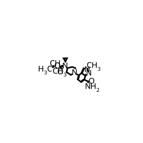 Cn1cc2c(N3CCC(N(C(=O)OC(C)(C)C)C4CC4)CC3)ccc(C(N)=O)c2n1